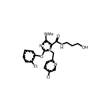 CCc1ccccc1Oc1nc(NC)c(C(=O)NCCCO)n1Cc1ccc(Cl)cn1